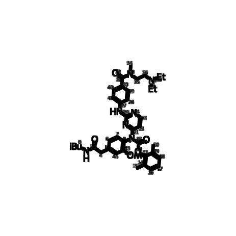 CCC(C)NC(=O)Cc1ccc(N(C(=O)Oc2c(C)cccc2C)c2ccnc(Nc3ccc(C(=O)N(C)CCN(CC)CC)cc3)n2)c(OC)c1